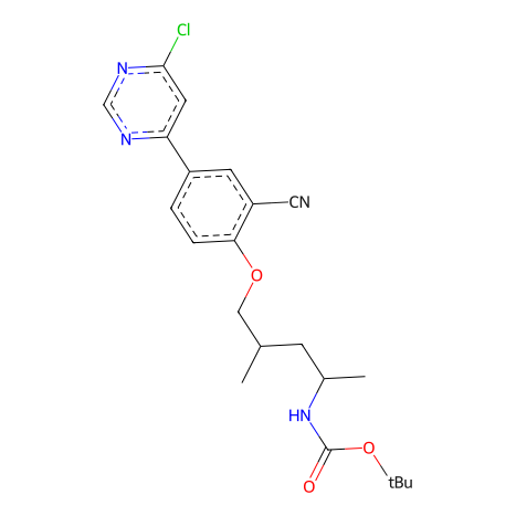 CC(COc1ccc(-c2cc(Cl)ncn2)cc1C#N)CC(C)NC(=O)OC(C)(C)C